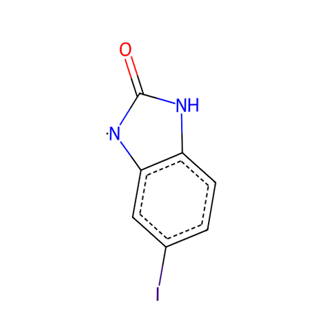 O=C1[N]c2cc(I)ccc2N1